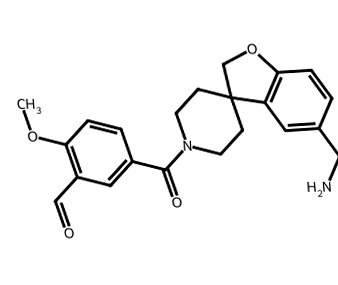 COc1ccc(C(=O)N2CCC3(CC2)COc2ccc(CN)cc23)cc1C=O